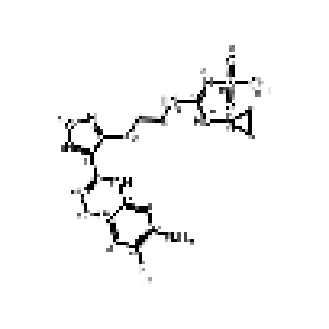 Bc1cc(N/C(=N\O)c2nonc2SCCN/C(=N/S(C)(=O)=O)NC2CC2)ccc1F